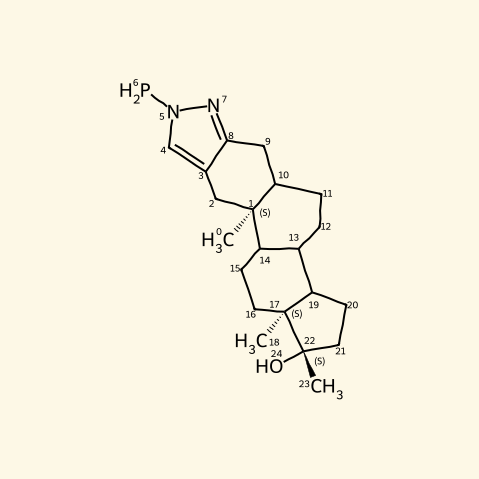 C[C@]12Cc3cn(P)nc3CC1CCC1C2CC[C@@]2(C)C1CC[C@]2(C)O